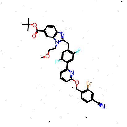 COCCn1c(Cc2cc(F)c(-c3cccc(OCc4ccc(C#N)cc4Br)n3)cc2F)nc2ccc(C(=O)OC(C)(C)C)cc21